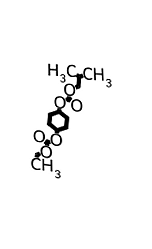 CCOC(=O)OC1CCC(OC(=O)OCC(C)C)CC1